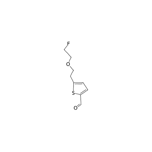 O=Cc1ccc(CCOCCF)s1